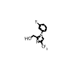 OCc1nc(C(F)(F)F)cn1-c1cccc(F)c1